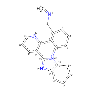 C=NCc1cccc2c1c1ncccc1c1nc3ccccc3n21